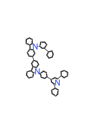 c1ccc(-c2cccc(-n3c4ccccc4c4ccc(-c5ccc6c(c5)c5ccccc5n6-c5ccc(-c6cc(-c7ccccc7)nc(-c7ccccc7)c6)cc5)cc43)c2)cc1